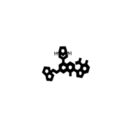 C=C(C)c1c(C)ccc2c1C(c1ccc3c(C4C[C@H]5CC[C@@H](C4)C5)cc(CCC45CCCC4CCC5)cc3c1C)=CC2